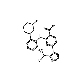 CC(C)c1nccn1-c1ccc([N+](=O)[O-])c(Nc2ccccc2N2CCCC(F)C2)n1